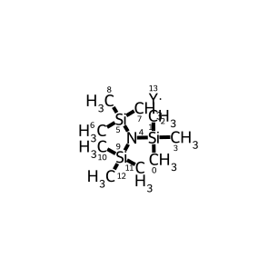 C[Si](C)(C)N([Si](C)(C)C)[Si](C)(C)C.[Y]